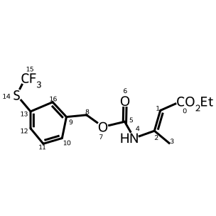 CCOC(=O)C=C(C)NC(=O)OCc1cccc(SC(F)(F)F)c1